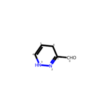 O=CC1=NNC=CC1